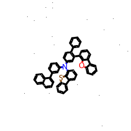 c1ccc(-c2ccc(N(c3cccc(-c4cccc5ccccc45)c3)c3cccc4c3sc3ccccc34)cc2-c2cccc3c2oc2ccccc23)cc1